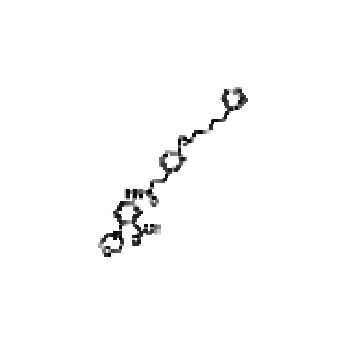 O=C(CCc1ccc(OCCCCCc2ccccc2)cc1)Nc1ccc(N2CCOCC2)c(C(=O)O)c1